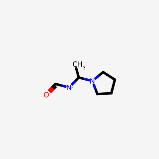 CC([N]C=O)N1CCCC1